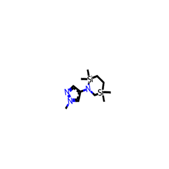 Cn1cc(N2C[Si](C)(C)CC[Si]2(C)C)cn1